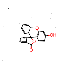 O=C1OC2(c3ccc(O)cc3OC3C=CC=CC32)c2ccccc21